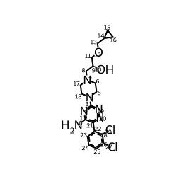 Nc1nc(N2CCN(C[C@H](O)COCC3CC3)CC2)nnc1-c1cccc(Cl)c1Cl